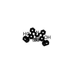 CCc1cc(-c2ccccc2-c2cc(C(C)(C)C)cc(C34CC5CC(CC(C5)C3)C4)c2O)nc(-c2ccccc2-c2cc(C(C)(C)C)cc(C34CC5CC(CC(C5)C3)C4)c2O)c1